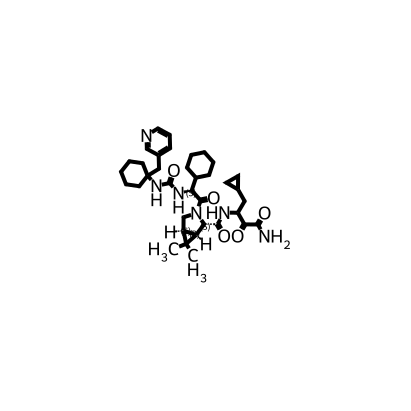 CC1(C)[C@@H]2[C@@H](C(=O)NC(CC3CC3)C(=O)C(N)=O)N(C(=O)[C@@H](NC(=O)NC3(Cc4cccnc4)CCCCC3)C3CCCCC3)C[C@@H]21